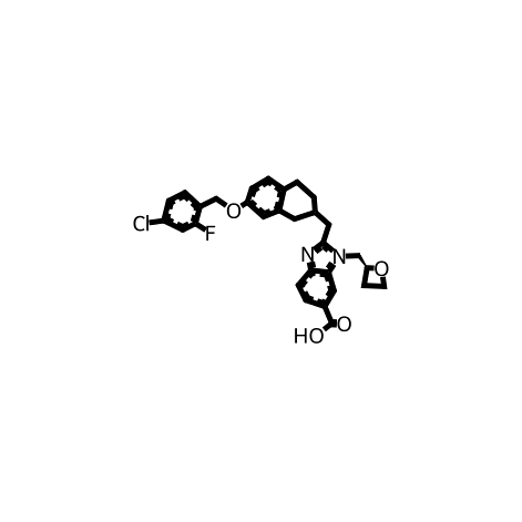 O=C(O)c1ccc2nc(CC3CCc4ccc(OCc5ccc(Cl)cc5F)cc4C3)n(C[C@@H]3CCO3)c2c1